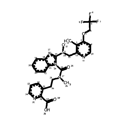 Cc1c(OCC(F)(F)F)ccnc1C[S+]([O-])c1nc2ccccc2n1C(=O)N(C)CCc1cccnc1C(=O)O